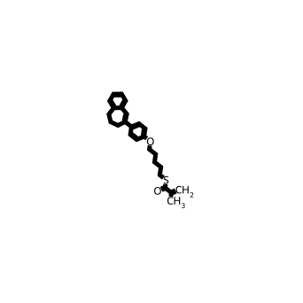 C=C(C)C(=O)SCCCCCOc1ccc(C2=Cc3ccccc3CCC2)cc1